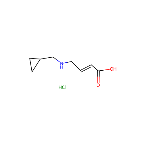 Cl.O=C(O)C=CCNCC1CC1